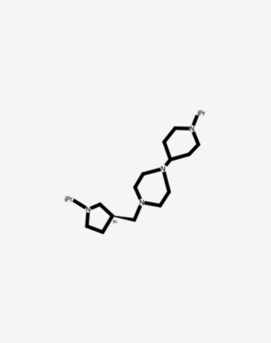 CC(C)N1CCC(N2CCN(C[C@H]3CCN(C(C)C)C3)CC2)CC1